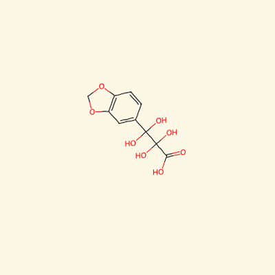 O=C(O)C(O)(O)C(O)(O)c1ccc2c(c1)OCO2